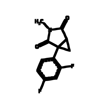 CN1C(=O)C2CC2(c2ccc(F)cc2F)C1=O